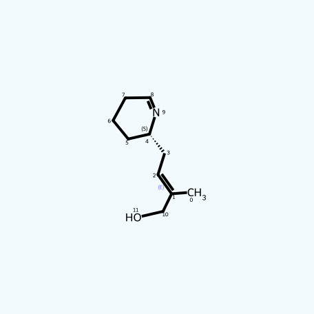 C/C(=C\C[C@@H]1CCCC=N1)CO